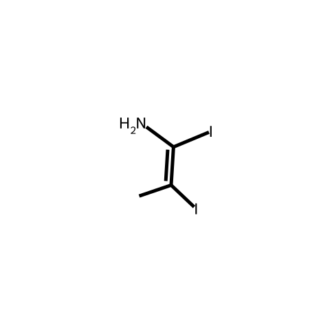 C/C(I)=C(\N)I